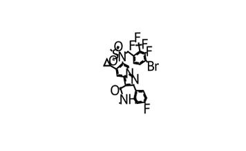 CNC(=O)c1c(-c2ccc(F)cc2)nn2cc(N(Cc3ccc(Br)c(F)c3C(F)(F)F)S(C)(=O)=O)c(C3CC3)cc12